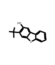 CC(C)(C)c1cc2oc3ccccc3c2cc1O